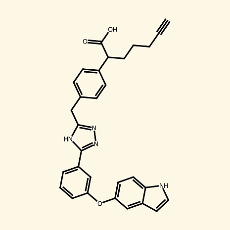 C#CCCCC(C(=O)O)c1ccc(Cc2nnc(-c3cccc(Oc4ccc5[nH]ccc5c4)c3)[nH]2)cc1